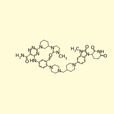 CN1CCN(C2CCCN(c3nnc(C(N)=O)c(Nc4ccc(N5CCN(CC6CCN(c7ccc8c(c7)n(C)c(=O)n8C7CCC(=O)NC7=O)CC6)CC5)c(F)c4)n3)C2)C1=O